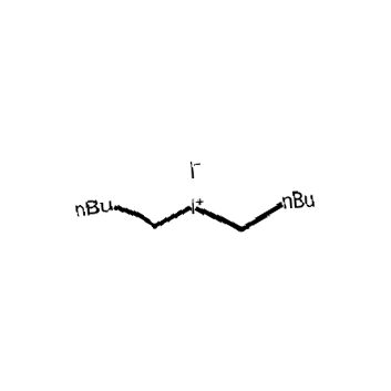 CCCCC[I+]CCCCC.[I-]